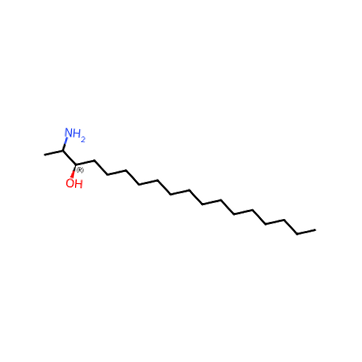 CCCCCCCCCCCCCCC[C@@H](O)C(C)N